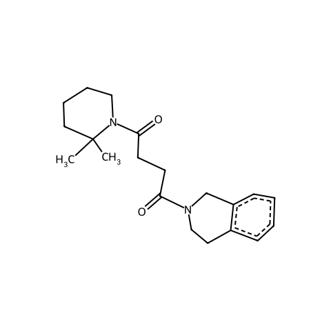 CC1(C)CCCCN1C(=O)CCC(=O)N1CCc2ccccc2C1